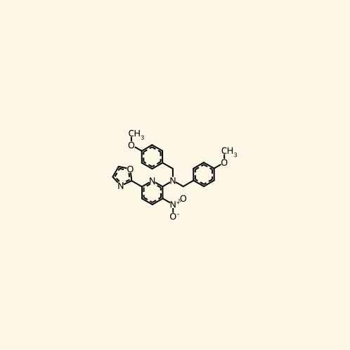 COc1ccc(CN(Cc2ccc(OC)cc2)c2nc(-c3ncco3)ccc2[N+](=O)[O-])cc1